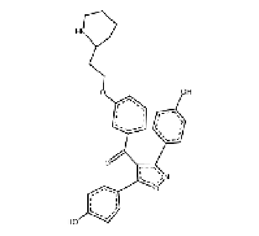 O=C(c1cccc(OCCC2CCCCN2)c1)c1c(-c2ccc(O)cc2)noc1-c1ccc(O)cc1